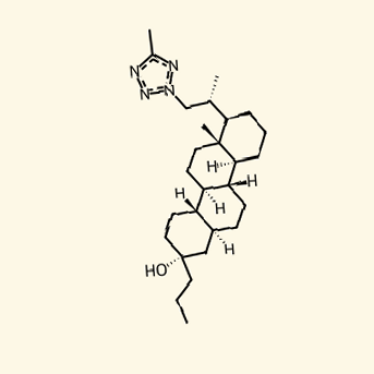 CCC[C@@]1(O)CC[C@H]2[C@@H](CC[C@@H]3[C@@H]2CC[C@]2(C)[C@@H]([C@@H](C)Cn4nnc(C)n4)CCC[C@@H]32)C1